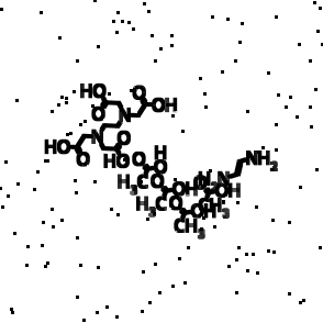 CC(=O)O.CC(=O)O.CC(=O)O.CC(=O)O.NC=CN.O=C(O)CN(CCN(CC(=O)O)CC(=O)O)CC(=O)O